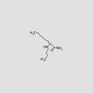 CCCCCC[C@@H](CC(N)=O)NCCCC